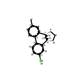 Cc1ccc2c(c1)[C@]13CCC[C@]1(CCC3)c1cc(Br)ccc1-2